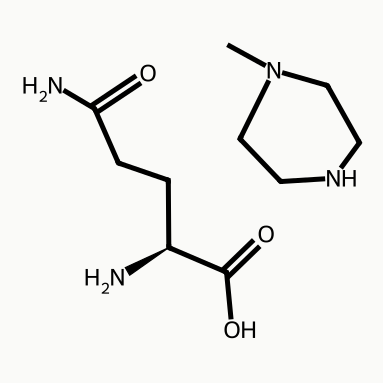 CN1CCNCC1.NC(=O)CC[C@H](N)C(=O)O